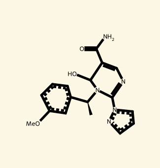 COc1cccc([C@H](C)N2C(n3cccn3)=NC=C(C(N)=O)C2O)c1